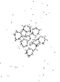 c1ccc2c(c1)C1=C(c3ccccc3C13c1ccccc1-c1cc4ccccc4nc13)C21c2ccccc2-c2cccnc21